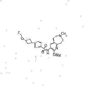 COc1nc2c(cc1NS(=O)(=O)c1ccc(C3CC(OCF)C3)cc1)CCN(C)CC2